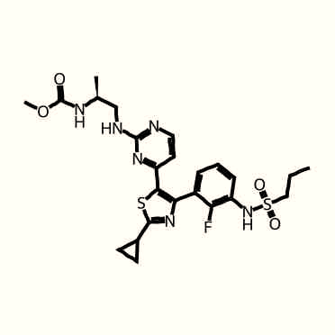 CCCS(=O)(=O)Nc1cccc(-c2nc(C3CC3)sc2-c2ccnc(NC[C@H](C)NC(=O)OC)n2)c1F